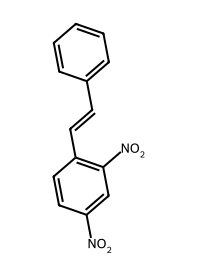 O=[N+]([O-])c1ccc(C=Cc2ccccc2)c([N+](=O)[O-])c1